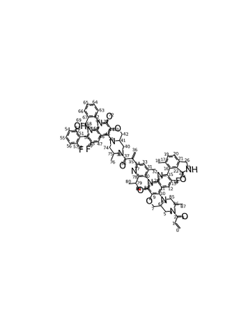 C=CC(=O)N1CC2COc3c(c4cc(F)c(-c5c(C)ccc6c5C(=O)NC6)nc4n(-c4c(C)cc(C(=C)C(=O)N5CC6COc7c(c8cc(F)c(-c9c(O)cccc9F)nc8n(-c8ccccc8C(C)C)c7=O)N6CC5C)nc4C(C)C)c3=O)N2CC1C